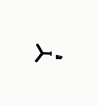 CC(C)I.[Na]